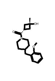 COc1ccccc1CC1CCN(C(=O)[C@H]2C[C@@](C)(O)C2)CC1